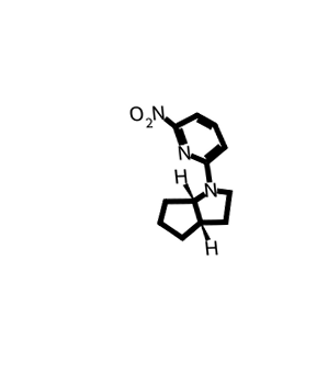 O=[N+]([O-])c1cccc(N2CC[C@@H]3CCC[C@@H]32)n1